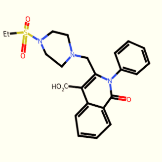 CCS(=O)(=O)N1CCN(Cc2c(C(=O)O)c3ccccc3c(=O)n2-c2ccccc2)CC1